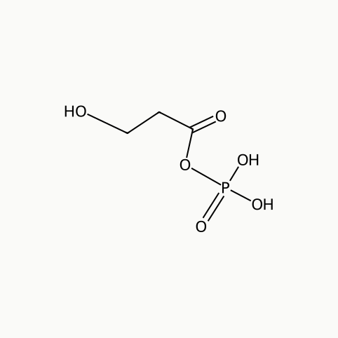 O=C(CCO)OP(=O)(O)O